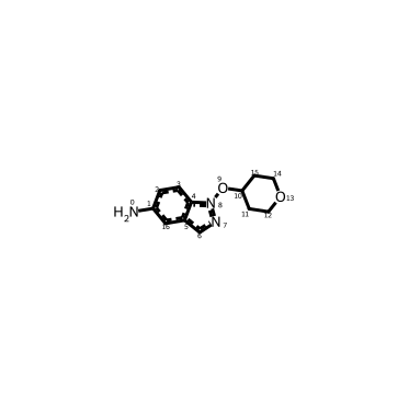 Nc1ccc2c(cnn2OC2CCOCC2)c1